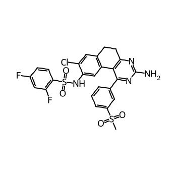 CS(=O)(=O)c1cccc(-c2nc(N)nc3c2-c2cc(NS(=O)(=O)c4ccc(F)cc4F)c(Cl)cc2CC3)c1